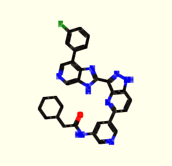 O=C(CC1CCCCC1)Nc1cncc(-c2ccc3[nH]nc(-c4nc5c(-c6cccc(F)c6)cncc5[nH]4)c3n2)c1